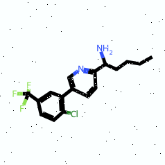 CCCCC(N)c1ccc(-c2cc(C(F)(F)F)ccc2Cl)cn1